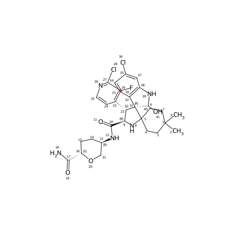 CC1(C)CCC2(CC1)N[C@@H](C(=O)N[C@@H]1CC[C@@H](C(N)=O)OC1)[C@H](c1ccnc(Cl)c1F)[C@@]21c2ccc(Cl)cc2NC1O